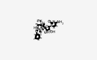 C=C[C@]1(COP(=O)(N[C@@H](C)C(=O)OC(C)C)Oc2ccccc2)O[C@@H](n2ccc(N)nc2=O)[C@H](O)[C@@H]1O